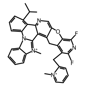 CC(C)c1cccc2c1c1ncc3c(c1c1n2c2ccccc2[n+]1C)Cc1c(Cc2cccc[n+]2C)c(F)nc(F)c1O3